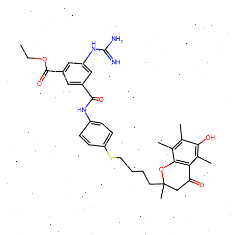 CCOC(=O)c1cc(NC(=N)N)cc(C(=O)Nc2ccc(SCCCCC3(C)CC(=O)c4c(C)c(O)c(C)c(C)c4O3)cc2)c1